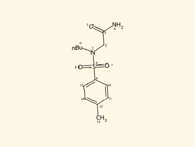 CCCCN(CC(N)=O)S(=O)(=O)c1ccc(C)cc1